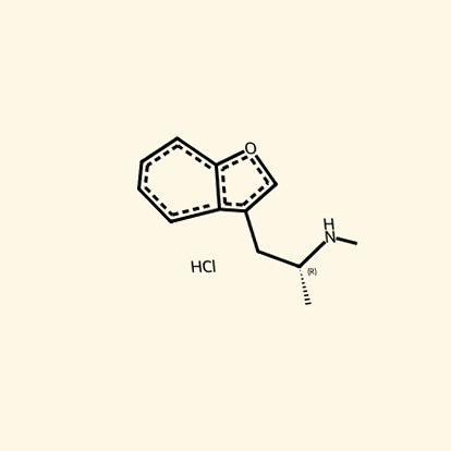 CN[C@H](C)Cc1coc2ccccc12.Cl